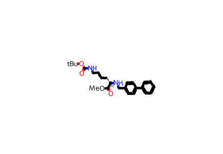 COC(=O)[C@H](CCCCNC(=O)OC(C)(C)C)NCc1ccc(-c2ccccc2)cc1